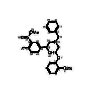 COc1ccccc1OCCN(Cc1ccccc1)CC(O)c1ccc(C)c(S(=O)OC)c1